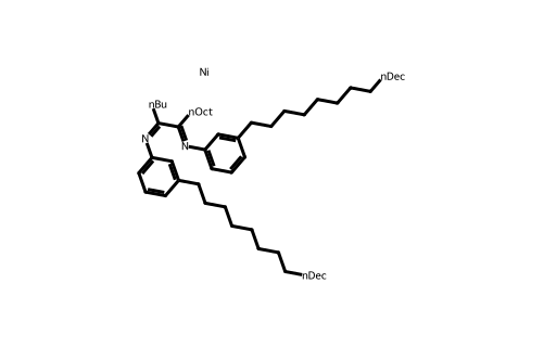 CCCCCCCCCCCCCCCCCCc1cccc(N=C(CCCC)C(CCCCCCCC)=Nc2cccc(CCCCCCCCCCCCCCCCCC)c2)c1.[Ni]